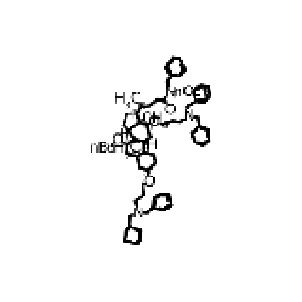 CCCCCCCCN(Cc1ccccc1)C(=O)CC[C@@H](C)[C@H]1CC[C@H]2C3[C@H](OCCCC)CC4C[C@H](OCCCN(Cc5ccccc5)Cc5ccccc5)CC[C@]4(C)[C@H]3C[C@H](OCCCN(Cc3ccccc3)Cc3ccccc3)[C@]12C